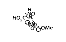 COc1cccc(C(=O)CNCCCN2C(=O)NC(C)=C(C(=O)O)C2c2cccc([N+](=O)[O-])c2)c1